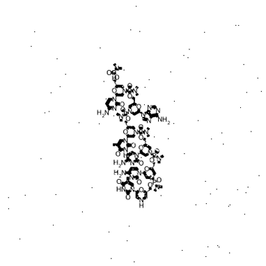 Cc1cn([C@H]2CNC[C@@H](COP(=O)(N(C)C)N3C[C@@H](COP(=O)(N(C)C)N4C[C@@H](COP(=O)(N(C)C)N5C[C@@H](COP(=O)(N(C)C)N6C[C@@H](COP(=O)(N(C)C)N7C[C@@H](CO[PH](=O)N(C)C)O[C@@H](n8ccc(N)nc8=O)C7)O[C@@H](n7cnc8c(N)ncnc87)C6)O[C@@H](n6cc(C)c(=O)[nH]c6=O)C5)O[C@@H](n5ccc(N)nc5=O)C4)O[C@@H](n4ccc(N)nc4=O)C3)O2)c(=O)[nH]c1=O